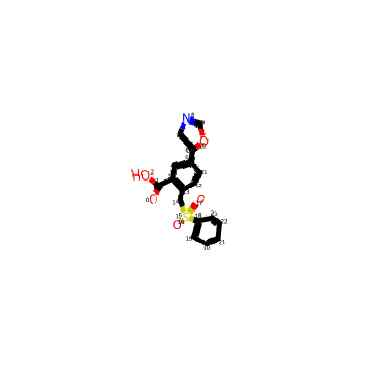 O=C(O)c1cc(-c2cnco2)ccc1CS(=O)(=O)c1ccccc1